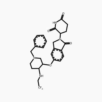 O=C1CCC(N2Cc3cc(OC4CN(Cc5ccccc5)CCC4NCC(F)(F)F)ccc3C2=O)C(=O)N1